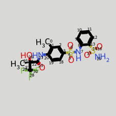 Cc1cc(S(=O)(=O)Nc2ccccc2S(N)(=O)=O)ccc1NC(=O)[C@@](C)(O)C(F)(F)F